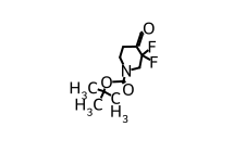 CC(C)(C)OC(=O)N1CCC(=C=O)C(F)(F)C1